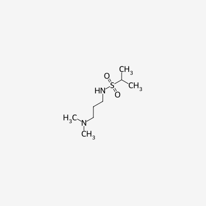 CC(C)S(=O)(=O)NCCCN(C)C